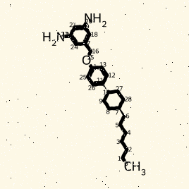 CCCCCCC[C@H]1CC[C@H](c2ccc(OCc3cc(N)cc(N)c3)cc2)CC1